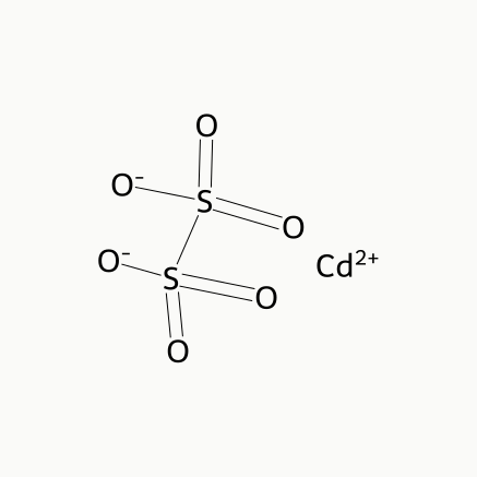 O=S(=O)([O-])S(=O)(=O)[O-].[Cd+2]